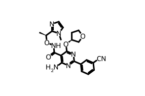 C[C@H](ONC(=O)c1c(N)nc(-c2cccc(C#N)c2)nc1O[C@H]1CCOC1)c1nccn1C